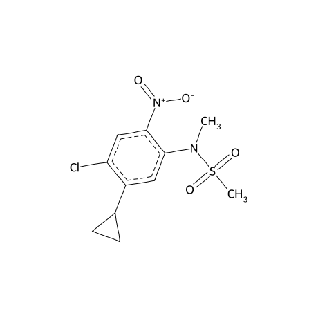 CN(c1cc(C2CC2)c(Cl)cc1[N+](=O)[O-])S(C)(=O)=O